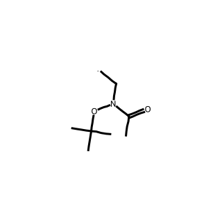 [CH2]CN(OC(C)(C)C)C(C)=O